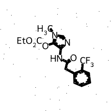 CCOC(=O)Oc1c(NC(=O)Cc2ccccc2C(F)(F)F)ncn1C